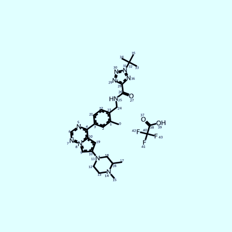 Cc1cc(-c2ncnn3cc(N4CCN(C)C(C)C4)cc23)ccc1CNC(=O)c1nnn(C(C)(C)C)n1.O=C(O)C(F)(F)F